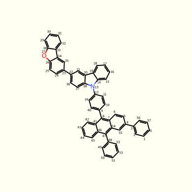 c1ccc(-c2ccc3c(-c4ccc(-n5c6ccccc6c6cc(-c7ccc8oc9ccccc9c8c7)ccc65)cc4)c4ccccc4c(-c4ccccc4)c3c2)cc1